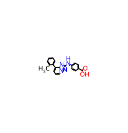 Cc1ccccc1-c1cccn2nc(Nc3ccc(C(=O)O)cc3)nc12